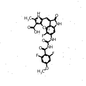 COc1cc(F)c(C(=O)NC(=O)Nc2cc3c(cc2F)C(=Cc2[nH]c(C)c(C(=O)O)c2C)C(=O)N3)c(F)c1